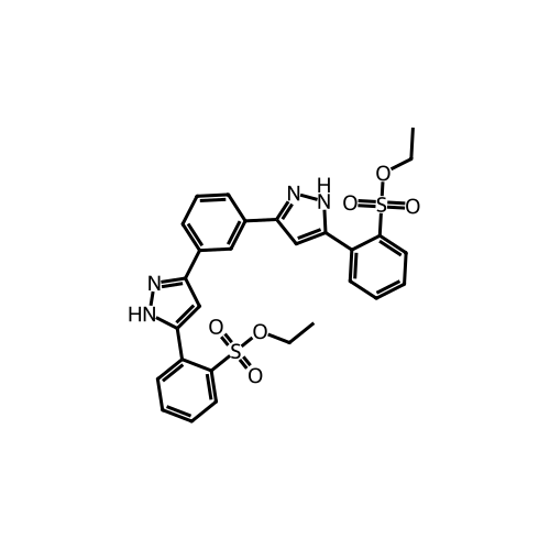 CCOS(=O)(=O)c1ccccc1-c1cc(-c2cccc(-c3cc(-c4ccccc4S(=O)(=O)OCC)[nH]n3)c2)n[nH]1